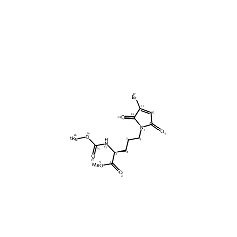 COC(=O)[C@H](CCCN1C(=O)C=C(Br)C1=O)NC(=O)OC(C)(C)C